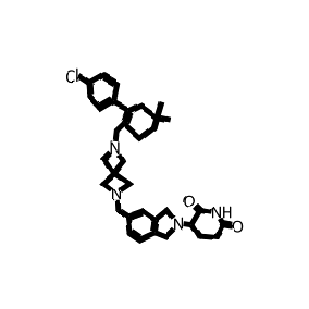 CC1(C)CCC(CN2CC3(C2)CN(Cc2ccc4c(c2)CN(C2CCC(=O)NC2=O)C4)C3)=C(c2ccc(Cl)cc2)C1